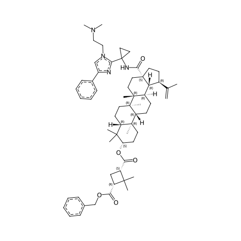 C=C(C)[C@@H]1CC[C@]2(C(=O)NC3(c4nc(-c5ccccc5)cn4CCN(C)C)CC3)CC[C@]3(C)[C@H](CC[C@@H]4[C@@]5(C)CC[C@H](OC(=O)[C@H]6C[C@@H](C(=O)OCc7ccccc7)C6(C)C)C(C)(C)[C@@H]5CC[C@]43C)[C@@H]12